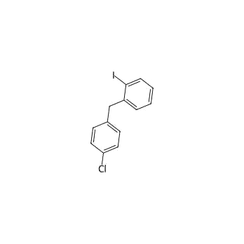 Clc1ccc(Cc2ccccc2I)cc1